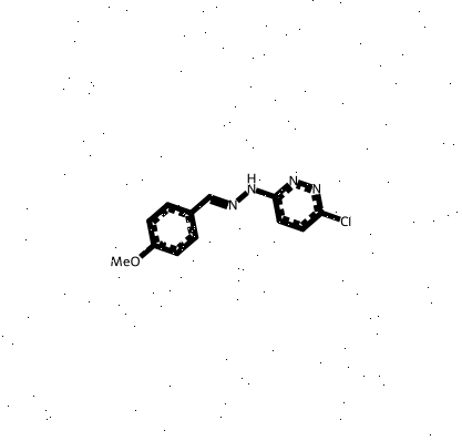 COc1ccc(C=NNc2ccc(Cl)nn2)cc1